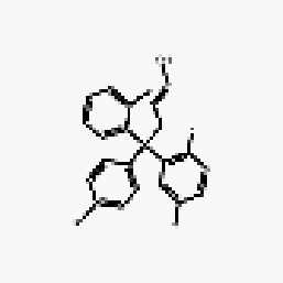 Cc1cnc(F)c(C(C/C=N/O)(c2ccc(Br)cc2)c2ccccc2C)c1